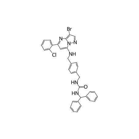 O=C(NCc1ccc(CNc2cc(-c3ccccc3Cl)nc3c(Br)cnn23)cc1)NC(c1ccccc1)c1ccccc1